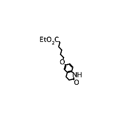 CCOC(=O)CCCCCOc1ccc2c(c1)CCC(=O)N2